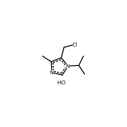 Cc1ncn(C(C)C)c1CCl.Cl